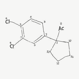 CC(=O)C1(c2ccc(Cl)c(Cl)c2)CCCC1